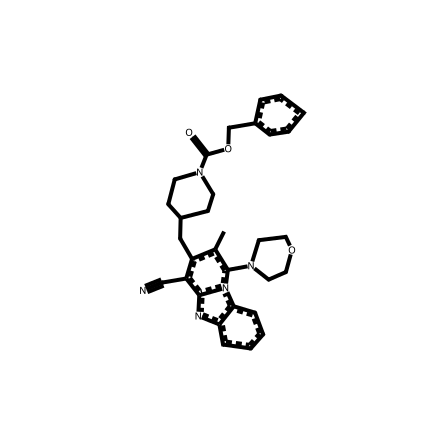 Cc1c(CC2CCN(C(=O)OCc3ccccc3)CC2)c(C#N)c2nc3ccccc3n2c1N1CCOCC1